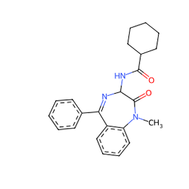 CN1C(=O)C(NC(=O)C2CCCCC2)N=C(c2ccccc2)c2ccccc21